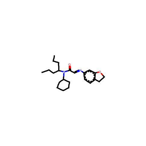 CCCC(CCC)N(C(=O)/C=N/c1ccc2c(c1)OCC2)C1CCCCC1